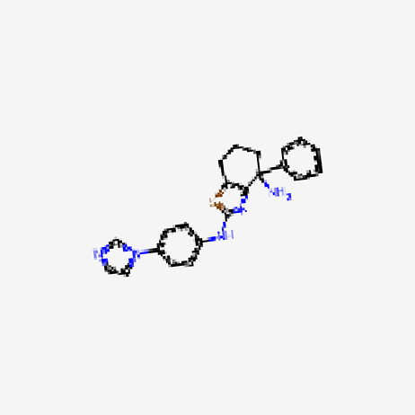 NC1(c2ccccc2)CCCc2sc(Nc3ccc(-n4ccnc4)cc3)nc21